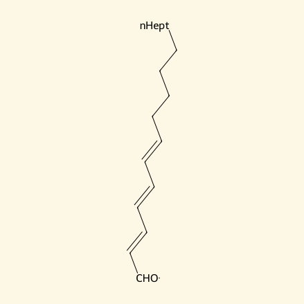 CCCCCCCCCCCC=CC=CC=C[C]=O